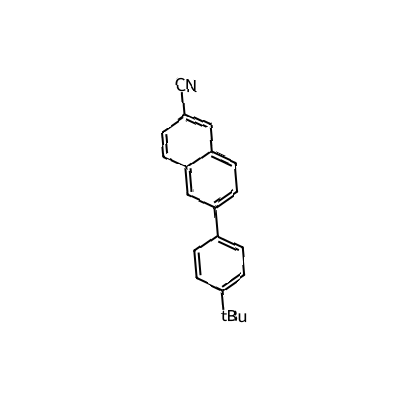 CC(C)(C)c1ccc(-c2ccc3cc(C#N)ccc3c2)cc1